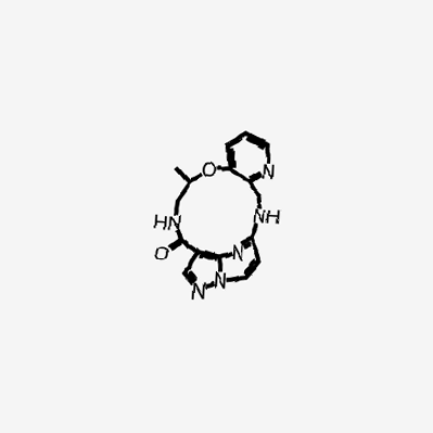 CC1CNC(=O)c2cnn3ccc(nc23)NCc2ncccc2O1